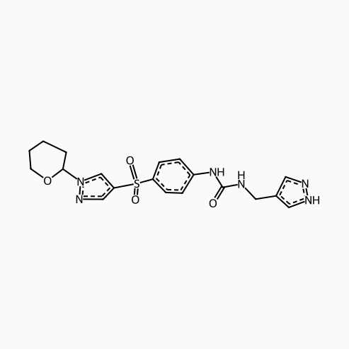 O=C(NCc1cn[nH]c1)Nc1ccc(S(=O)(=O)c2cnn(C3CCCCO3)c2)cc1